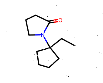 [CH2]CC1(N2CCCC2=O)CCCC1